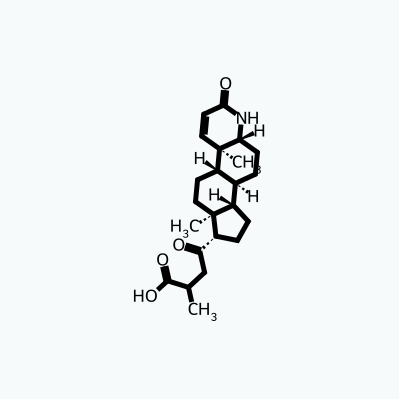 CC(CC(=O)[C@H]1CC[C@H]2[C@@H]3CC[C@H]4NC(=O)C=C[C@]4(C)[C@H]3CC[C@]12C)C(=O)O